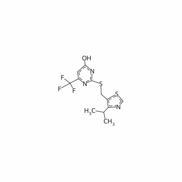 CC(C)c1ncsc1CSc1nc(O)cc(C(F)(F)F)n1